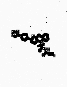 CC(C)(C(=O)NC(N)=O)[C@H]1c2ccccc2Oc2nc(-c3ccc(-n4cnnn4)cc3)ccc21